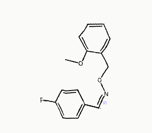 COc1ccccc1CO/N=[C]\c1ccc(F)cc1